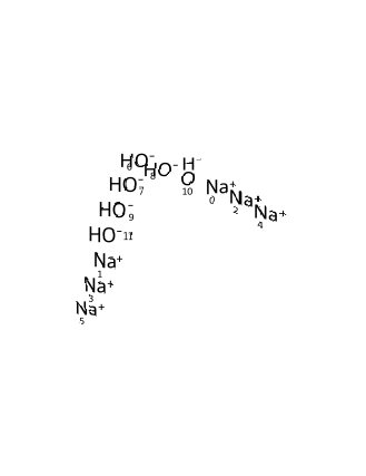 [Na+].[Na+].[Na+].[Na+].[Na+].[Na+].[OH-].[OH-].[OH-].[OH-].[OH-].[OH-]